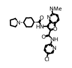 CNc1ccc2oc(C(=O)Nc3ccc(Cl)cn3)c(NC(=O)[C@H]3CC[C@H](N4CCCC4)CC3)c2n1